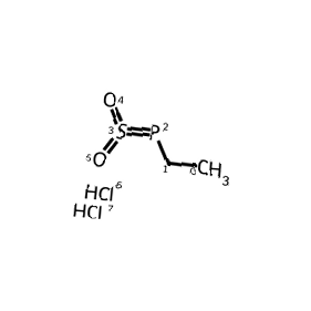 CCP=S(=O)=O.Cl.Cl